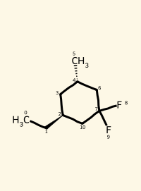 CC[C@H]1C[C@H](C)CC(F)(F)C1